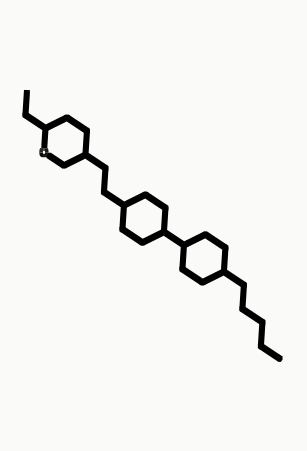 CCCCCC1CCC(C2CCC(CCC3CCC(CC)OC3)CC2)CC1